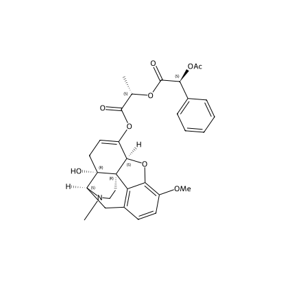 COc1ccc2c3c1O[C@@H]1C(OC(=O)[C@H](C)OC(=O)[C@@H](OC(C)=O)c4ccccc4)=CC[C@]4(O)[C@H](C2)N(C)CC[C@@]314